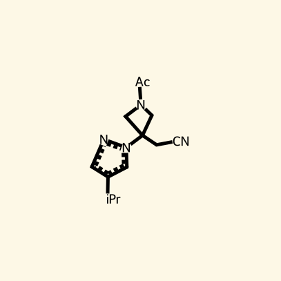 CC(=O)N1CC(CC#N)(n2cc(C(C)C)cn2)C1